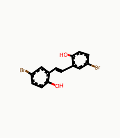 Oc1ccc(Br)cc1/C=C/c1cc(Br)ccc1O